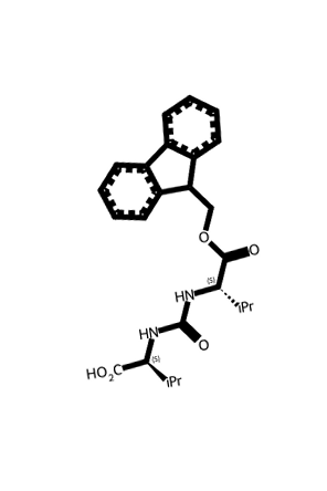 CC(C)[C@H](NC(=O)N[C@H](C(=O)OCC1c2ccccc2-c2ccccc21)C(C)C)C(=O)O